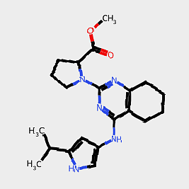 COC(=O)C1CCCN1c1nc2c(c(Nc3c[nH]c(C(C)C)c3)n1)CCCC2